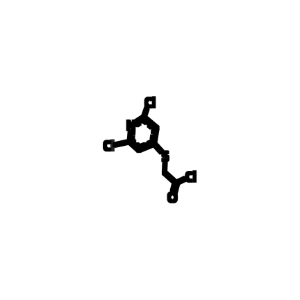 O=C(Cl)CSc1cc(Cl)nc(Cl)c1